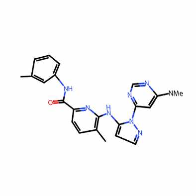 CNc1cc(-n2nccc2Nc2nc(C(=O)Nc3cccc(C)c3)ccc2C)ncn1